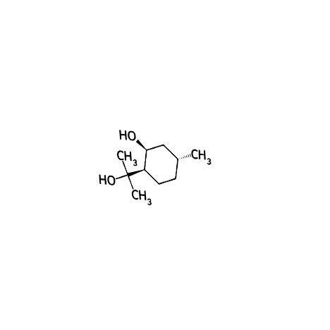 C[C@@H]1CC[C@@H](C(C)(C)O)[C@@H](O)C1